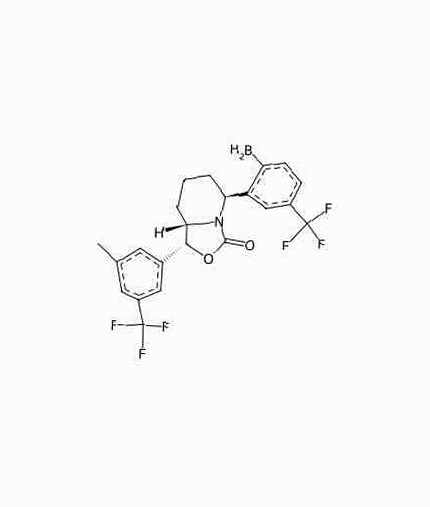 Bc1ccc(C(F)(F)F)cc1[C@@H]1CCC[C@H]2[C@@H](c3cc(C)cc(C(F)(F)F)c3)OC(=O)N12